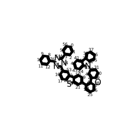 c1ccc(-c2nc(-c3ccccc3)nc(-c3ccc4sc5cc(-c6cccc7oc8ccc(-n9c%10ccccc%10c%10ccccc%109)cc8c67)ccc5c4c3)n2)cc1